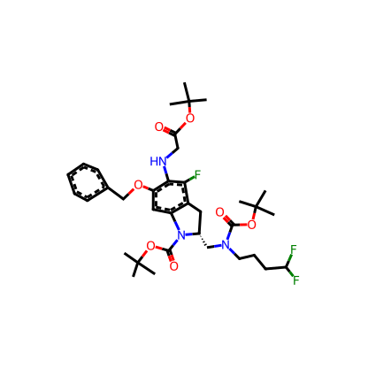 CC(C)(C)OC(=O)CNc1c(OCc2ccccc2)cc2c(c1F)C[C@H](CN(CCCC(F)F)C(=O)OC(C)(C)C)N2C(=O)OC(C)(C)C